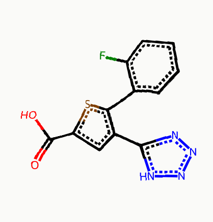 O=C(O)c1cc(-c2nnn[nH]2)c(-c2ccccc2F)s1